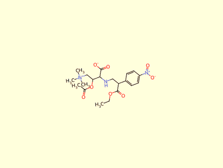 CCOC(=O)C(CNC(C(=O)[O-])C(C[N+](C)(C)C)OC(C)=O)c1ccc([N+](=O)[O-])cc1